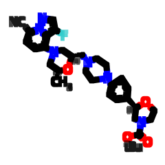 C[C@@H]1CN(c2ccc(C#N)n3ncc(F)c23)C[C@H](CN2CCN(c3ccc([C@@H]4CN(C(=O)OC(C)(C)C)CCO4)cc3)CC2)O1